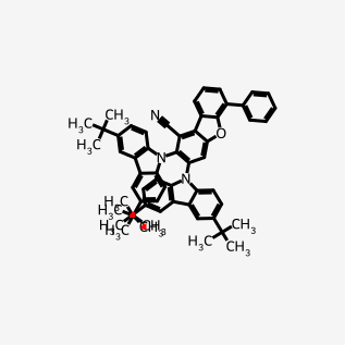 CC(C)(C)c1ccc2c(c1)c1cc(C(C)(C)C)ccc1n2-c1cc2oc3c(-c4ccccc4)cccc3c2c(C#N)c1-n1c2ccc(C(C)(C)C)cc2c2cc(C(C)(C)C)ccc21